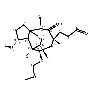 COCO[C@@H]1C[C@@](C)(CCC=O)C(=O)[C@H](C)C23CC[C@@H](C)[C@]1(C)C2[C@H](OC)CC3